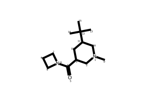 CN1CC(C(=O)N2CCC2)CC(C(C)(C)C)C1